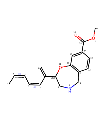 C=C(/C=C\C=C/C)[C@@H]1CNCc2ccc(C(=O)OC)cc2O1